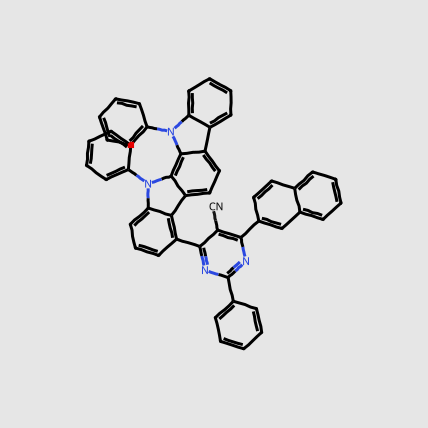 N#Cc1c(-c2ccc3ccccc3c2)nc(-c2ccccc2)nc1-c1cccc2c1c1ccc3c4ccccc4n(-c4ccccc4)c3c1n2-c1ccccc1